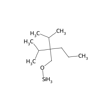 CCCC(CO[SiH3])(C(C)C)C(C)C